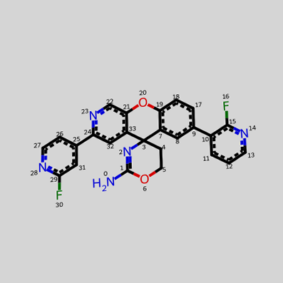 NC1=NC2(CCO1)c1cc(-c3cccnc3F)ccc1Oc1cnc(-c3ccnc(F)c3)cc12